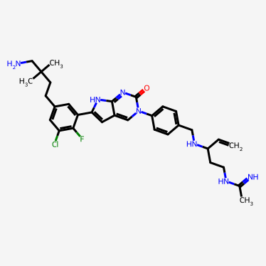 C=CC(CCNC(C)=N)NCc1ccc(-n2cc3cc(-c4cc(CCC(C)(C)CN)cc(Cl)c4F)[nH]c3nc2=O)cc1